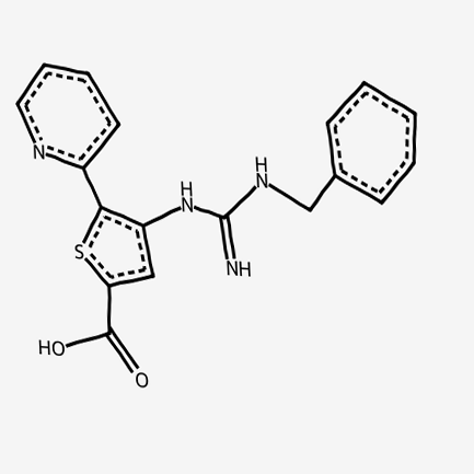 N=C(NCc1ccccc1)Nc1cc(C(=O)O)sc1-c1ccccn1